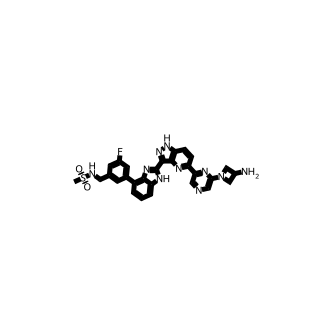 CS(=O)(=O)NCc1cc(F)cc(-c2cccc3[nH]c(-c4n[nH]c5ccc(-c6cncc(N7CC(N)C7)n6)nc45)nc23)c1